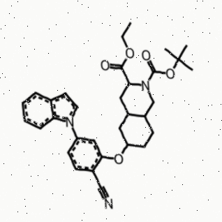 CCOC(=O)C1CC2CC(Oc3cc(-n4ccc5ccccc54)ccc3C#N)CCC2CN1C(=O)OC(C)(C)C